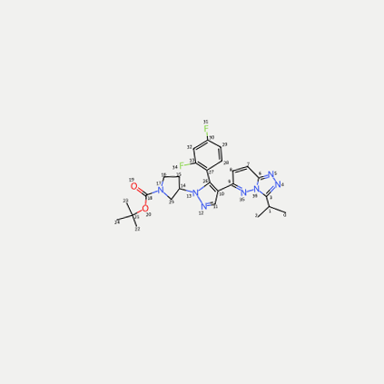 CC(C)c1nnc2ccc(-c3cnn(C4CCN(C(=O)OC(C)(C)C)C4)c3-c3ccc(F)cc3F)nn12